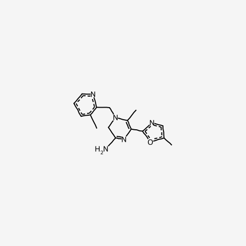 CC1=C(c2ncc(C)o2)N=C(N)CN1Cc1ncccc1C